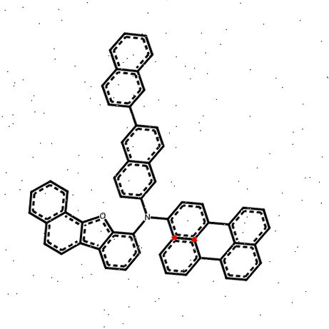 c1ccc(-c2cccc3cccc(-c4ccc(N(c5ccc6cc(-c7ccc8ccccc8c7)ccc6c5)c5cccc6c5oc5c7ccccc7ccc65)cc4)c23)cc1